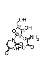 NCC(=O)O.O=c1ccn([C@@H]2O[C@H](CO)[C@@H](O)[C@H]2O)c(=O)[nH]1